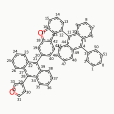 c1ccc(-c2c3ccccc3c(-c3cccc4oc5cc(-c6c7ccccc7c(-c7ccoc7)c7ccccc67)ccc5c34)c3ccccc23)cc1